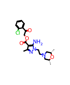 Cc1nn(CCN2C[C@@H](C)O[C@@H](C)C2)c(N)c1C(=O)OCC(=O)c1ccccc1Cl